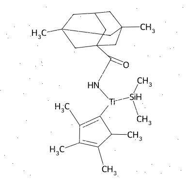 CC1=C(C)C(C)[C]([Ti]([NH]C(=O)C23CC4CC(C)(CC(C)(C4)C2)C3)[SiH](C)C)=C1C